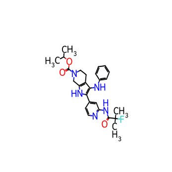 CC(C)OC(=O)N1CCc2c([nH]c(-c3ccnc(NC(=O)C(C)(C)F)c3)c2Nc2ccccc2)C1